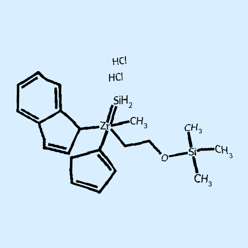 C[Si](C)(C)OC[CH2][Zr]([CH3])(=[SiH2])([C]1=CC=CC1)[CH]1C=Cc2ccccc21.Cl.Cl